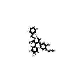 CSc1ccc(-c2cnn(Cc3ccccc3)c(=O)c2-c2ccc(F)cc2)cc1F